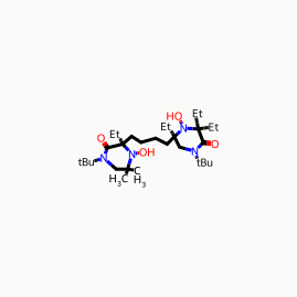 CCC1(CCCCC2(CC)C(=O)N(C(C)(C)C)CC(C)(C)N2O)CN(C(C)(C)C)C(=O)C(CC)(CC)N1O